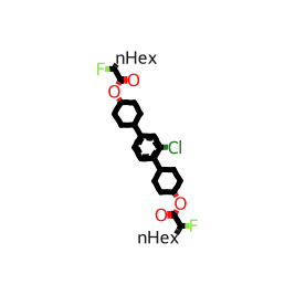 CCCCCCC(F)C(=O)OC1CCC(c2ccc(C3CCC(OC(=O)C(F)CCCCCC)CC3)c(Cl)c2)CC1